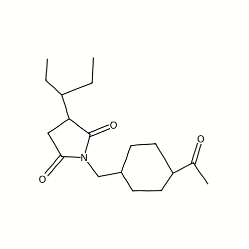 CCC(CC)C1CC(=O)N(CC2CCC(C(C)=O)CC2)C1=O